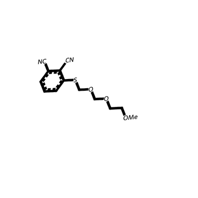 COCCOCOCSc1cccc(C#N)c1C#N